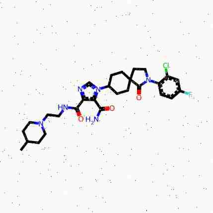 CC1CCN(CCNC(=O)c2ncn(C3CCC4(CC3)CCN(c3ccc(F)cc3Cl)C4=O)c2C(N)=O)CC1